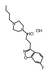 CCCCN1CCN(CCCc2noc3cc(F)ccc23)CC1.Cl.Cl